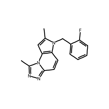 Cc1cc2c(ccc3nnc(C)n32)n1Cc1ccccc1F